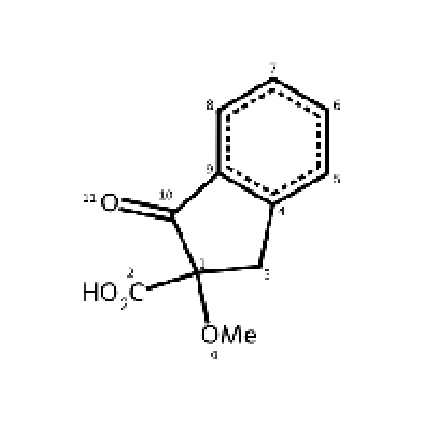 COC1(C(=O)O)Cc2ccccc2C1=O